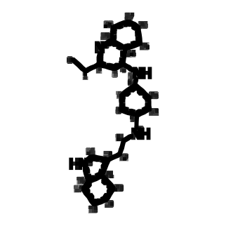 CCc1cc(Nc2ccc(NCCc3c[nH]c4ccccc34)cc2)c2ccccc2n1